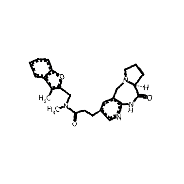 Cc1c(CN(C)C(=O)CCc2cnc3c(c2)CN2CCC[C@H]2C(=O)N3)oc2ccccc12